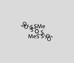 C=CC(=O)OC(C)C1CSC(C(SC)c2ccc(C(SC)C3SCC(C(C)OC(=O)C=C)S3)cc2)S1